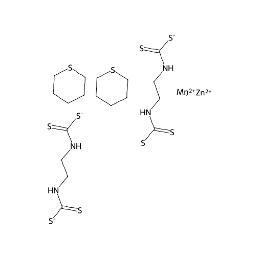 C1CCSCC1.C1CCSCC1.S=C([S-])NCCNC(=S)[S-].S=C([S-])NCCNC(=S)[S-].[Mn+2].[Zn+2]